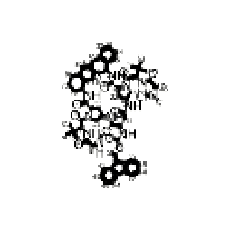 CN[C@@H](C)C(=O)N[C@H](C(=O)N1C[C@@H](NC(=O)[C@H](CC(=O)N[C@H]2C[C@@H](C(=O)N[C@@H]3CCCc4ccccc43)N(C(=O)[C@@H](NC(=O)[C@H](C)N(C)Cl)C(C)(C)C)C2)NC(=O)OCC2c3ccccc3-c3ccccc32)C[C@H]1C(=O)N[C@@H]1CCCc2ccccc21)C(C)(C)C